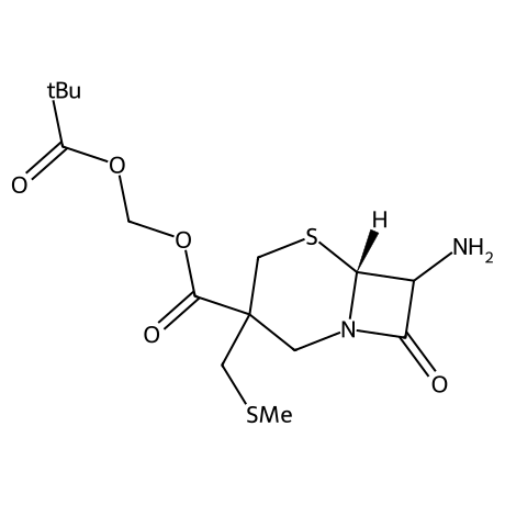 CSCC1(C(=O)OCOC(=O)C(C)(C)C)CS[C@@H]2C(N)C(=O)N2C1